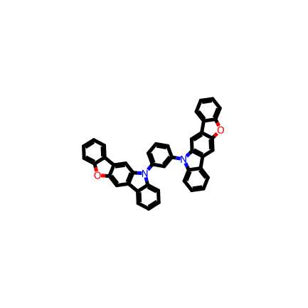 c1cc(-n2c3ccccc3c3cc4oc5ccccc5c4cc32)cc(-n2c3ccccc3c3cc4oc5ccccc5c4cc32)c1